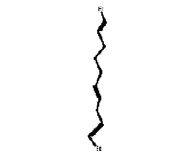 CCC=CCC=CCCCC=CCC